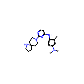 CCN(CC)c1ccc(Nc2ccnc(N3CCC4(CCCN4)CC3)n2)c(C)c1